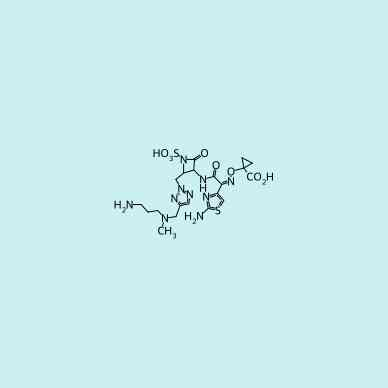 CN(CCCN)Cc1cnn(CC2C(NC(=O)/C(=N\OC3(C(=O)O)CC3)c3csc(N)n3)C(=O)N2S(=O)(=O)O)n1